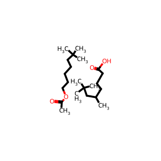 CC(=O)OCCCCCC(C)(C)C.CC(CCCC(=O)O)CC(C)(C)C